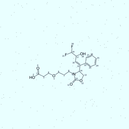 O=C(O)CCOCCCN1C(=O)OCC1C(=CC(O)C(F)F)c1ccccc1